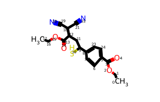 CCOC(=O)c1ccc(C(S)CC(C(=O)OCC)C(C#N)C#N)cc1